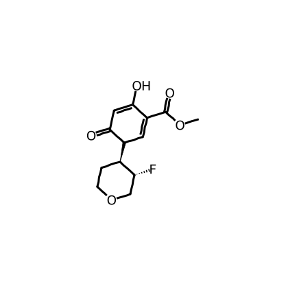 COC(=O)C1=CC([C@@H]2CCOC[C@H]2F)C(=O)C=C1O